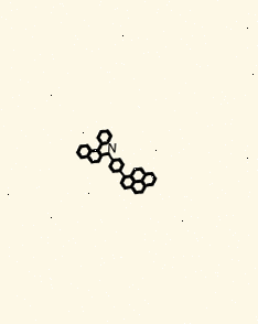 c1ccc2c(c1)ccc1c(-c3ccc(-c4ccc5ccc6cccc7ccc4c5c67)cc3)nc3ccccc3c12